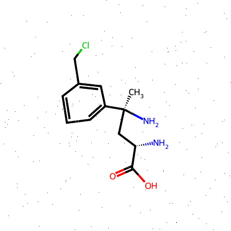 C[C@](N)(C[C@H](N)C(=O)O)c1cccc(CCl)c1